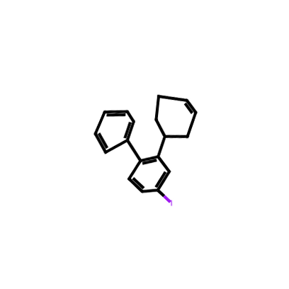 Ic1ccc(-c2ccccc2)c(C2CC=CCC2)c1